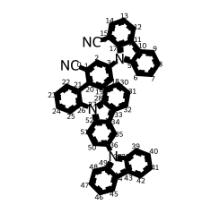 N#Cc1cc(-n2c3ccccc3c3cccc(C#N)c32)ccc1-c1ccccc1-n1c2ccccc2c2cc(-n3c4ccccc4c4ccccc43)ccc21